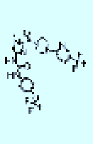 Cn1cc(NC(=O)Nc2ccc(OC(F)(F)F)cc2)nc1C(=O)N1CCN(c2ccc(C(F)(F)F)cn2)CC1